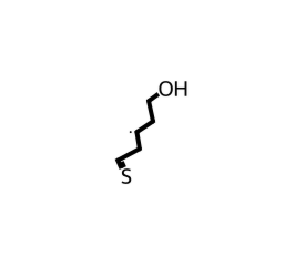 OCC[CH]CC=S